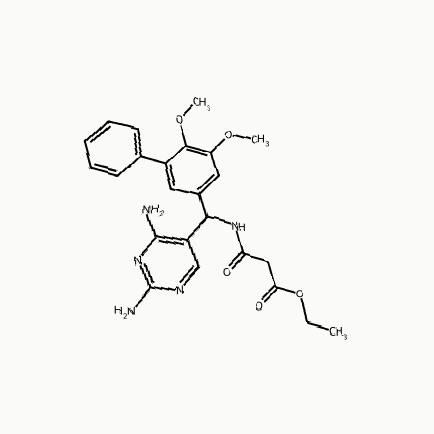 CCOC(=O)CC(=O)NC(c1cc(OC)c(OC)c(-c2ccccc2)c1)c1cnc(N)nc1N